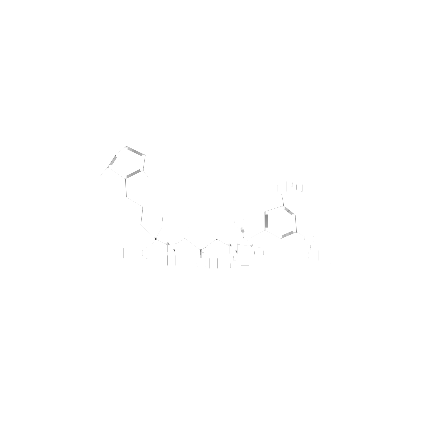 CCCCc1cc(OC(F)(F)F)cc(S(=O)(=O)N(C)C[C@H](O)CNC(C)(C)CCCc2c(F)cccc2F)c1